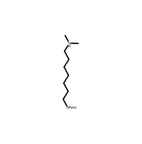 CCCCCCCCCCCC[SiH](C)C